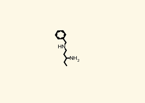 CCC(N)CCNCc1ccccc1